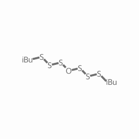 CCC(C)SSSOSSSC(C)CC